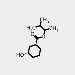 CC(C)C(C)OC(=O)[C@H]1CCC[C@H](O)C1